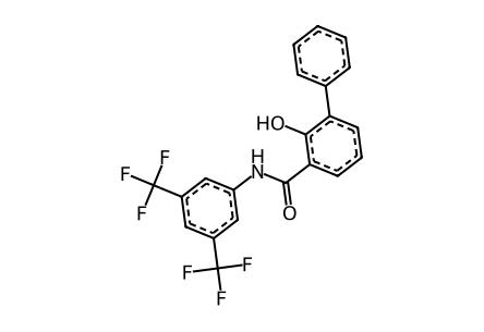 O=C(Nc1cc(C(F)(F)F)cc(C(F)(F)F)c1)c1cccc(-c2ccccc2)c1O